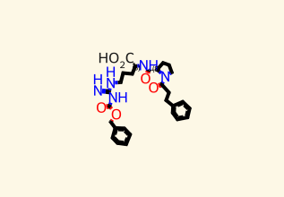 N=C(NCCC[C@H](NC(=O)[C@@H]1CCCN1C(=O)CCc1ccccc1)C(=O)O)NC(=O)OCc1ccccc1